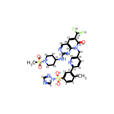 Cc1ccc(S(=O)(=O)n2cncn2)cc1-c1ccc(Cn2c(=O)c(C(F)F)cc3cnc(NC4CCN(S(C)(=O)=O)CC4)nc32)cn1